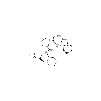 CN[C@@H](C)C(=O)N[C@H](C(=O)N1CCC[C@H]1C(=O)N[C@H]1c2ccccc2C[C@H]1O)C1CCCCC1